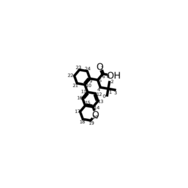 CC(C)(C)CC(C(=O)O)C1=C(c2ccc3c(c2)CCCO3)CCCC1